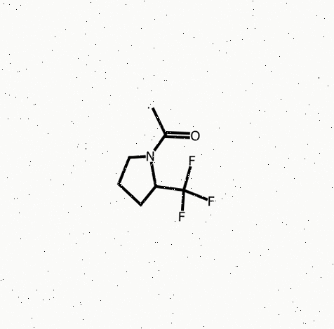 [CH2]C(=O)N1CCCC1C(F)(F)F